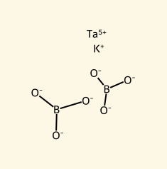 [K+].[O-]B([O-])[O-].[O-]B([O-])[O-].[Ta+5]